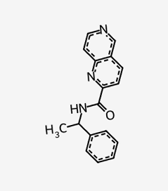 CC(NC(=O)c1ccc2cnccc2n1)c1ccccc1